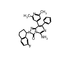 Cc1cc(-c2c(-c3ccccc3)nc(N)n3c(=O)n(C4CCCc5ccc(F)cc54)nc23)cc(C)n1